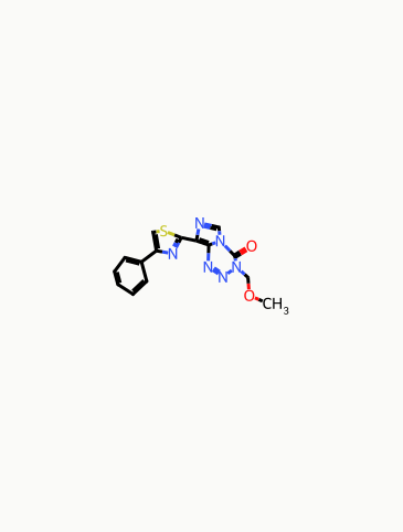 COCn1nnc2c(-c3nc(-c4ccccc4)cs3)ncn2c1=O